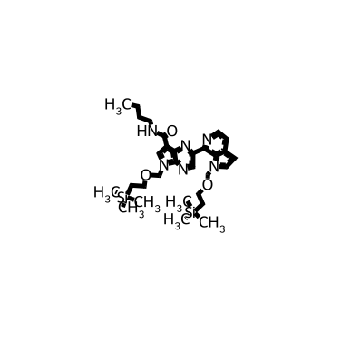 CCCCNC(=O)c1cn(COCC[Si](C)(C)C)c2ncc(-c3nccc4ccn(COCC[Si](C)(C)C)c34)nc12